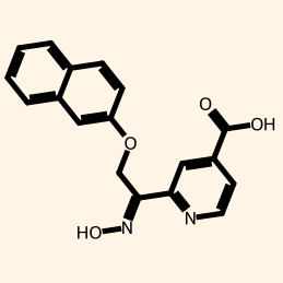 O=C(O)c1ccnc(/C(COc2ccc3ccccc3c2)=N/O)c1